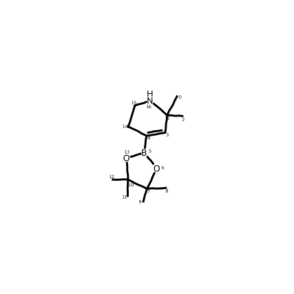 CC1(C)C=C(B2OC(C)(C)C(C)(C)O2)CCN1